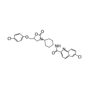 O=C(N[C@H]1CC[C@H](N2CC(COc3ccc(Cl)cc3)OC2=O)CC1)c1ccc2cc(Cl)ccc2n1